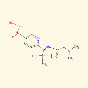 CN(C)CC(=O)N[C@H](c1ccc(C(=O)NO)cn1)C(C)(C)C